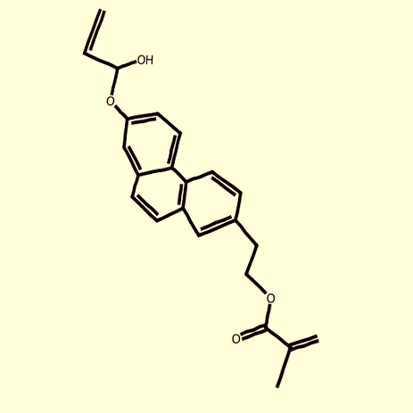 C=CC(O)Oc1ccc2c(ccc3cc(CCOC(=O)C(=C)C)ccc32)c1